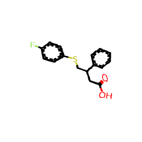 O=C(O)CC(CSc1ccc(F)cc1)c1ccccc1